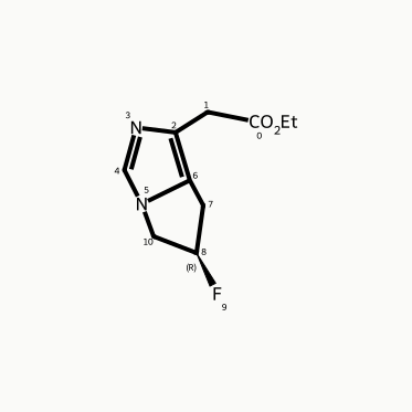 CCOC(=O)Cc1ncn2c1C[C@@H](F)C2